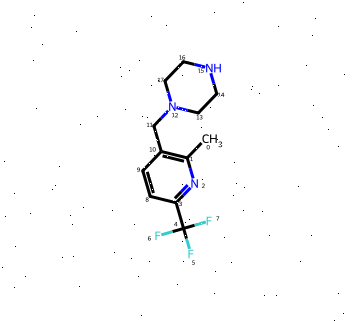 Cc1nc(C(F)(F)F)ccc1CN1CCNCC1